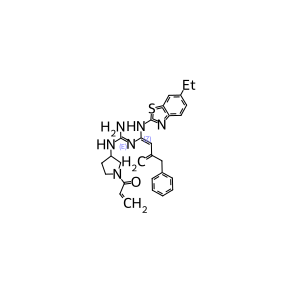 C=CC(=O)N1CCC(N/C(N)=N/C(=C\C(=C)Cc2ccccc2)Nc2nc3ccc(CC)cc3s2)C1